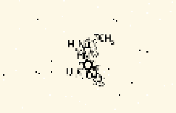 COC1CC(C(N)=O)(C(=O)Nc2cc(C)c(Oc3nccs3)c(F)c2)C1